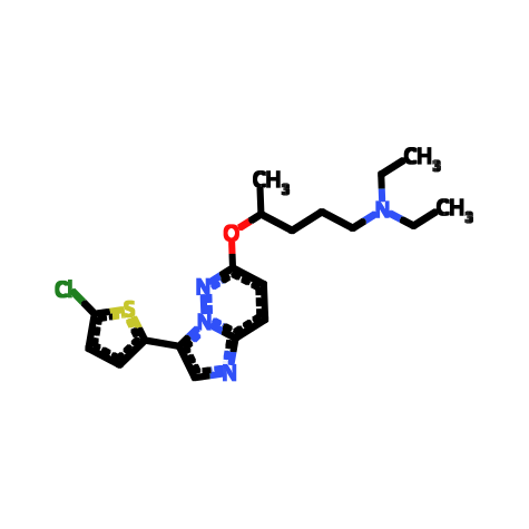 CCN(CC)CCCC(C)Oc1ccc2ncc(-c3ccc(Cl)s3)n2n1